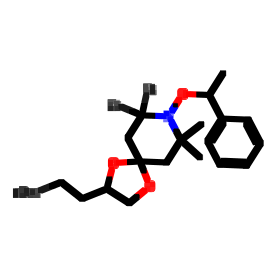 CCCCCCCCCCCCC1COC2(CC(C)(C)N(OC(C)c3ccccc3)C(CC)(CC)C2)O1